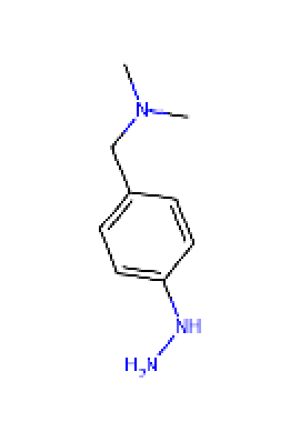 CN(C)Cc1ccc(NN)cc1